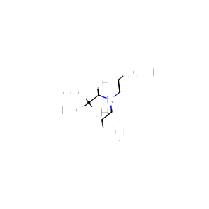 CC(N(CCC(=O)O)CCC(=O)O)C(C)(C)C(=O)O